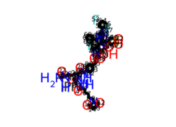 CC(C)[C@H](NC(=O)CCCCCN1C(=O)C=CC1=O)C(=O)N[C@@H](CCCNC(N)=O)C(=O)Nc1ccc(COC(=O)N2C[C@H](F)[C@@H]3CN([C@@H](c4nc(-c5cc(F)ccc5F)cn4Cc4ccccc4)C4CCS(=O)(=O)CC4)C(=O)[C@@H](O)C32)cc1